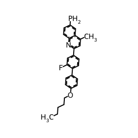 CCCCCOc1ccc(-c2ccc(-c3cc(C)c4cc(P)ccc4n3)cc2F)cc1